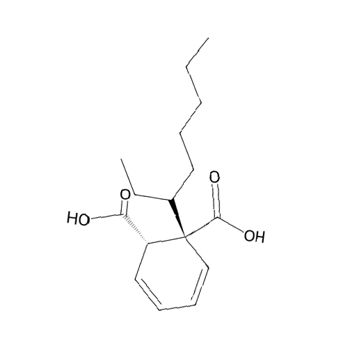 CCCCCC(CC)[C@@]1(C(=O)O)C=CC=C[C@@H]1C(=O)O